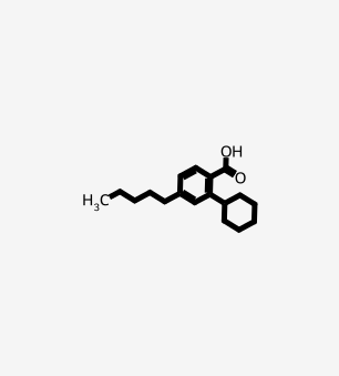 CCCCCc1ccc(C(=O)O)c(C2CCCCC2)c1